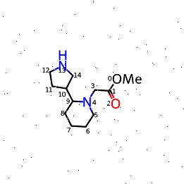 COC(=O)CN1CCCCC1C1CCNC1